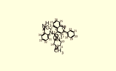 CCN(C(=O)c1c(C[N+]2([O-])CCN(C)CC2)c(-c2ccccc2)nc2ccccc12)c1ccccc1C#N